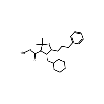 CC(C)(C)OC(=O)N1[C@@H](CC2CCCCC2)C(CCCc2ccncc2)OC1(C)C